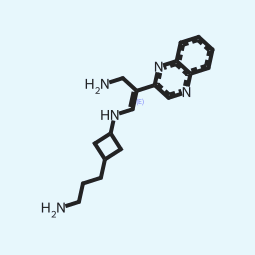 NCCCC1CC(N/C=C(\CN)c2cnc3ccccc3n2)C1